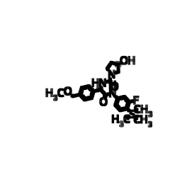 COCc1ccc([C@@H](NC(=O)N2CC[C@@H](O)C2)C(=O)Nc2ccc(S(C)(C)C)c(F)c2)cc1